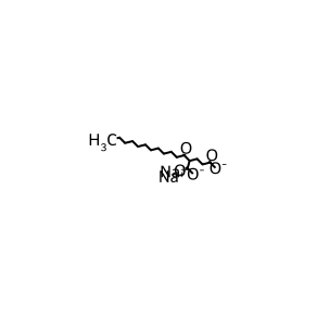 CCCCCCCCCCCC(=O)C(CCC(=O)[O-])C(=O)[O-].[Na+].[Na+]